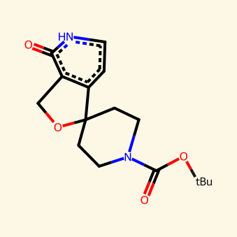 CC(C)(C)OC(=O)N1CCC2(CC1)OCc1c2cc[nH]c1=O